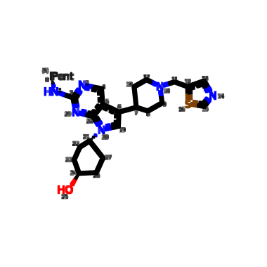 CCC[C@H](C)Nc1ncc2c(C3CCN(Cc4cncs4)CC3)cn([C@H]3CC[C@H](O)CC3)c2n1